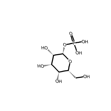 O=P(O)(O)O[C@@H]1O[C@H](CO)[C@H](O)[C@H](O)[C@@H]1O